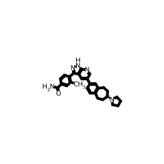 Cc1cc(C(N)=O)ccc1-c1n[nH]c2ncc(-c3ccc4c(c3)CC[C@@H](N3CCCC3)CC4)cc12